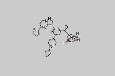 O=C(c1cc(-c2cnn3ccc(-c4cccs4)nc23)nc(N2CCN(C3COC3)CC2)c1)N1C[C@H]2CC[C@@H](C1)NC2